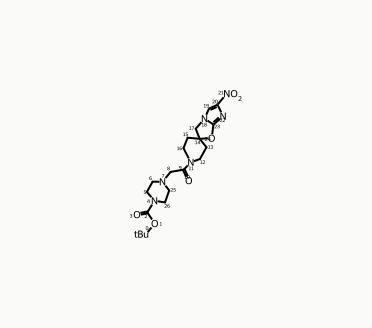 CC(C)(C)OC(=O)N1CCN(CC(=O)N2CCC3(CC2)Cn2cc([N+](=O)[O-])nc2O3)CC1